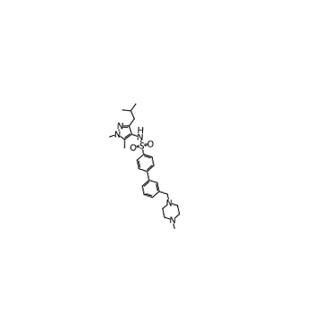 Cc1c(NS(=O)(=O)c2ccc(-c3cccc(CN4CCN(C)CC4)c3)cc2)c(CC(C)C)nn1C